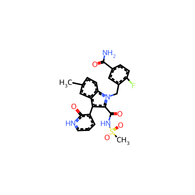 Cc1ccc2c(c1)c(-c1ccc[nH]c1=O)c(C(=O)NS(C)(=O)=O)n2Cc1cc(C(N)=O)ccc1F